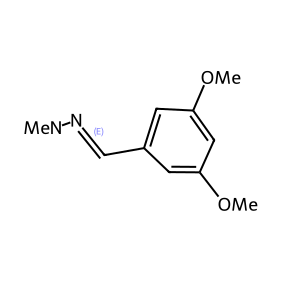 CN/N=C/c1cc(OC)cc(OC)c1